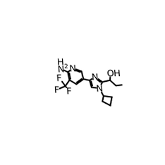 CCC(O)c1nc(-c2cnc(N)c(C(F)(F)F)c2)cn1C1CCC1